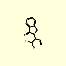 C=CC(C(CC)CC)N1Cc2ccccc2C1=O